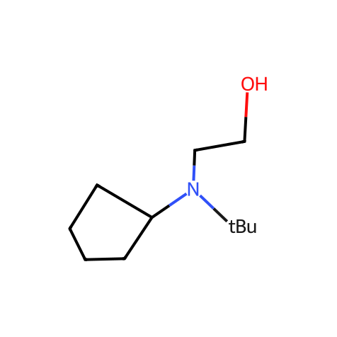 CC(C)(C)N(CCO)C1CCCC1